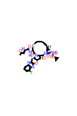 Cc1cc(C(=O)N[C@H]2CCCCCC=C[C@@H]3C[C@@]3(C(=O)NS(=O)(=O)C3CC3)NC(=O)[C@@H]3C[C@@H](Oc4nc5c(F)cccc5nc4C)CN3C2=O)no1